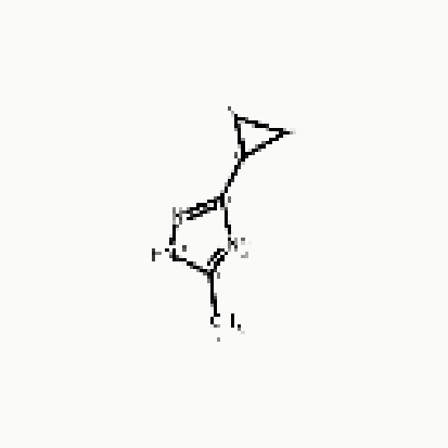 CC1=[N+]C(C2CC2)=NN1